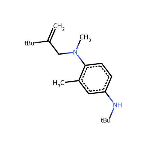 C=C(CN(C)c1ccc(NC(C)(C)C)cc1C)C(C)(C)C